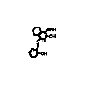 N=Cc1c(O)nc(SCc2ncccc2O)c2c1CCCC2